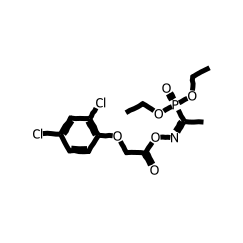 CCOP(=O)(OCC)C(C)=NOC(=O)COc1ccc(Cl)cc1Cl